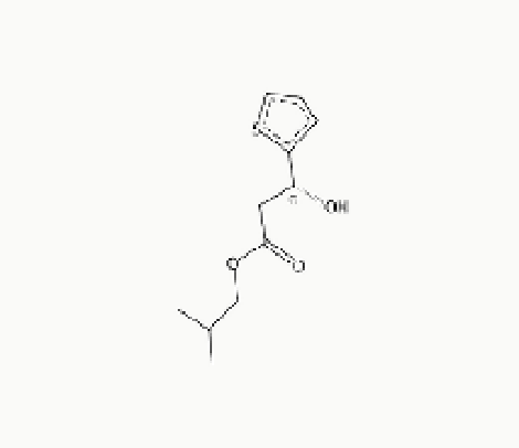 CC(C)COC(=O)C[C@@H](O)c1cccs1